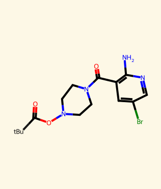 CC(C)(C)C(=O)ON1CCN(C(=O)c2cc(Br)cnc2N)CC1